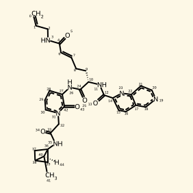 C=CCNC(=O)/C=C/CC[C@H](NC(=O)c1ccc2cnccc2n1)C(=O)Nc1cccn(CC(=O)NC23CC(C2)[C@@H]3C)c1=O